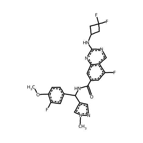 COc1ccc(C(NC(=O)c2cc(F)c3cnc(NC4CC(F)(F)C4)nc3c2)c2cnn(C)c2)cc1F